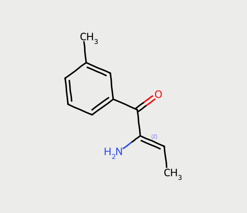 C/C=C(\N)C(=O)c1cccc(C)c1